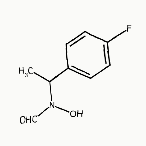 CC(c1ccc(F)cc1)N(O)C=O